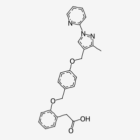 Cc1nn(-c2ccccn2)cc1COc1ccc(COc2ccccc2CC(=O)O)cc1